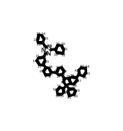 C1=C(c2cccc(-c3cccc(-c4cccc(-c5nc(-c6ccccc6)nc(-c6ccccc6)n5)c4)c3)c2)c2cc(-c3ccccc3)ccc2C1(c1ccccc1)c1ccccc1